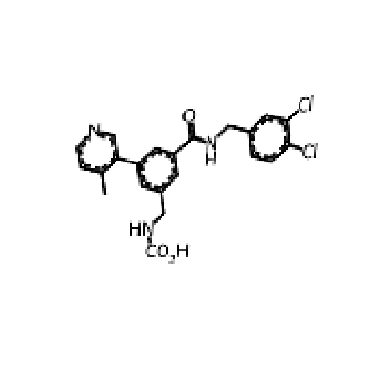 Cc1ccncc1-c1cc(CNC(=O)O)cc(C(=O)NCc2ccc(Cl)c(Cl)c2)c1